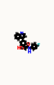 CC(C(=O)Nc1ccc(F)cc1)[C@]1(O)CC[C@H](c2ccnc3ccccc32)CC1